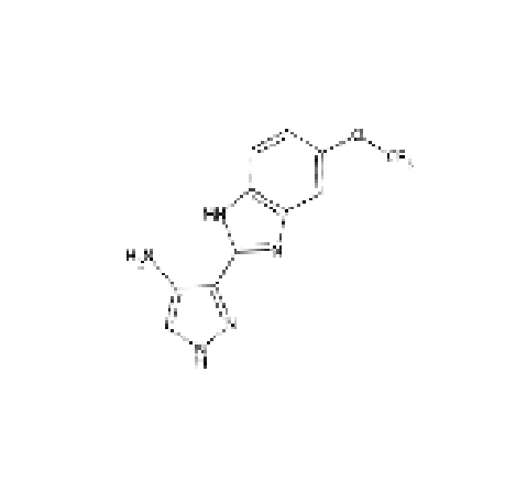 Nc1c[nH]nc1-c1nc2cc(OC(F)(F)F)ccc2[nH]1